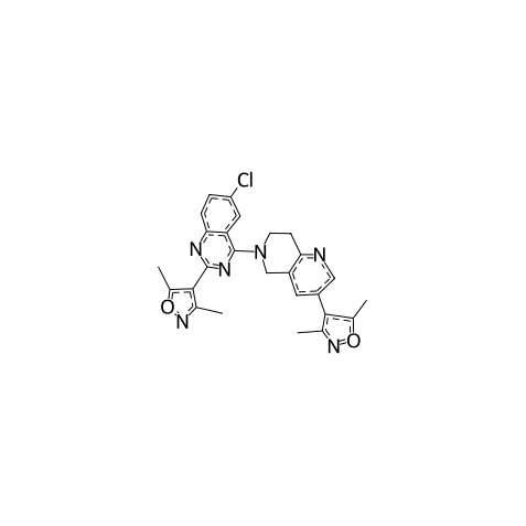 Cc1noc(C)c1-c1cnc2c(c1)CN(c1nc(-c3c(C)noc3C)nc3ccc(Cl)cc13)CC2